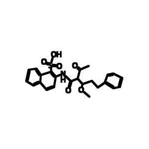 COC(CCc1ccccc1)C(C(C)=O)C(=O)Nc1ccc2ccccc2c1S(=O)(=O)O